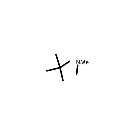 CC(C)(C)C.CNC